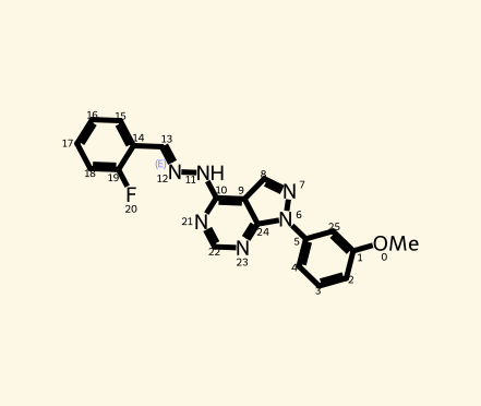 COc1cccc(-n2ncc3c(N/N=C/c4ccccc4F)ncnc32)c1